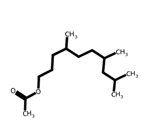 CC(=O)OCCCC(C)CCC(C)CC(C)C